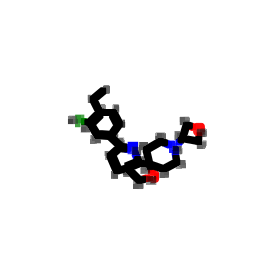 CCc1ccc(-c2ccc3c(n2)C2(CCN(C4COC4)CC2)OC3)cc1F